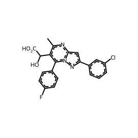 Cc1nc2cc(-c3cccc(Cl)c3)nn2c(-c2ccc(F)cc2)c1C(O)C(=O)O